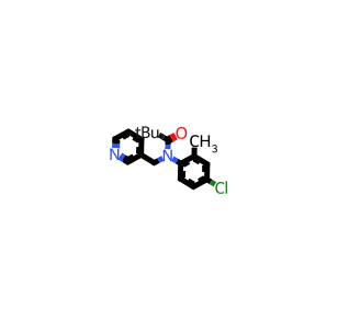 Cc1cc(Cl)ccc1N(Cc1cccnc1)C(=O)C(C)(C)C